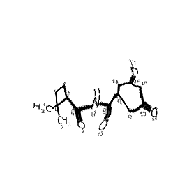 CC1(C)CCC1C(=O)NC(=O)C1CC(=O)CC(=O)C1